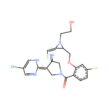 N=C1CN(C(=O)c2ccc(F)cc2OCC2/C(=C\F)N2CCO)C/C1=C1\N=CC(Cl)=CN1